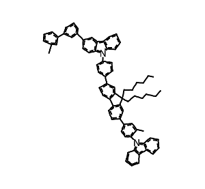 CCCCCCC1(CCCCCC)c2cc(-c3ccc(-n4c5ccccc5c5cc(-c6cccc(-c7cccc(C)c7)c6)ccc54)cc3)ccc2-c2ccc(-c3ccc(-n4c5c(c6ccccc64)C=C=C=C5)c(C)c3)cc21